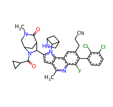 Cc1nc2c(F)c(-c3cccc(Cl)c3Cl)c(CCC#N)cc2c2c1cc(C1C3CC(CN(C)C3=O)N1C(=O)C1CC1)n2C1C2CNC1C2